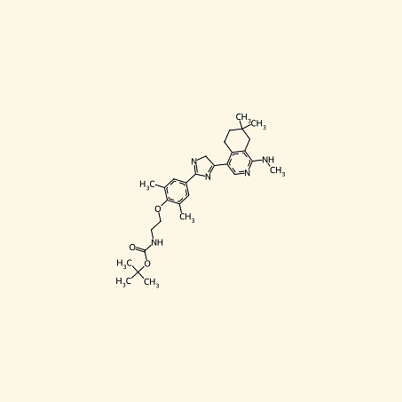 CNc1ncc(C2=NC(c3cc(C)c(OCCNC(=O)OC(C)(C)C)c(C)c3)=NC2)c2c1CC(C)(C)CC2